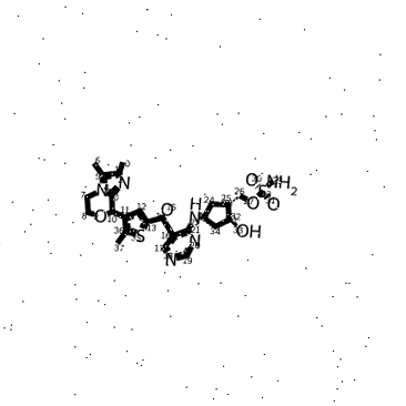 Cc1nc2n(c1C)CCOC2c1cc(C(=O)c2cncnc2N[C@@H]2C[C@H](COS(N)(=O)=O)[C@@H](O)C2)sc1C